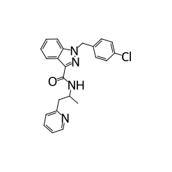 CC(Cc1ccccn1)NC(=O)c1nn(Cc2ccc(Cl)cc2)c2ccccc12